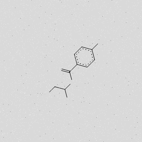 CCc1ccc(C(=O)OC(CC)COC)cc1